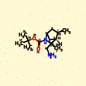 C[C@@H]1CC2C[C@@H]1[C@](C)(CN)N2C(=O)OC(C)(C)C